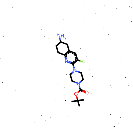 CC(C)(C)OC(=O)N1CCN(c2nc3c(cc2F)CC(N)CC3)CC1